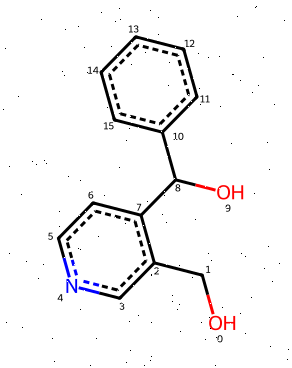 OCc1cnccc1C(O)c1ccccc1